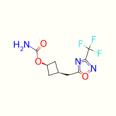 NC(=O)O[C@H]1C[C@@H](Cc2nc(C(F)(F)F)no2)C1